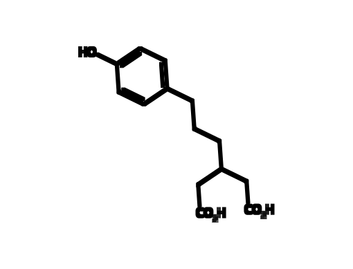 O=C(O)CC(CCCc1ccc(O)cc1)CC(=O)O